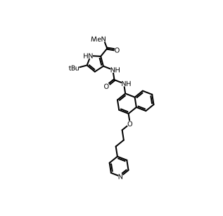 CNC(=O)c1[nH]c(C(C)(C)C)cc1NC(=O)Nc1ccc(OCCCc2ccncc2)c2ccccc12